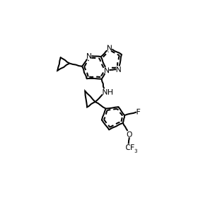 Fc1cc(C2(Nc3cc(C4CC4)nc4ncnn34)CC2)ccc1OC(F)(F)F